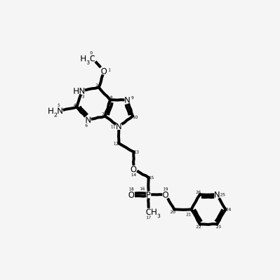 COC1NC(N)=Nc2c1ncn2CCOCP(C)(=O)OCc1cccnc1